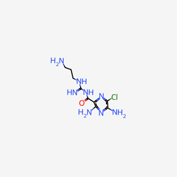 N=C(NCCCN)NC(=O)c1nc(Cl)c(N)nc1N